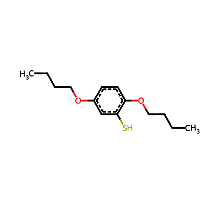 CCCCOc1ccc(OCCCC)c(S)c1